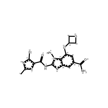 CCCn1c(NC(=O)c2sc(C)nc2CC)nc2cc(C(N)=O)cc(OC3COC3)c21